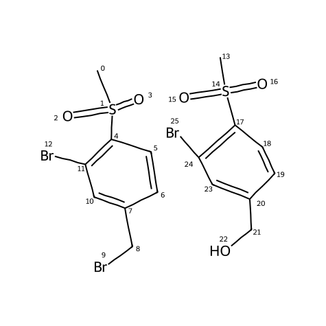 CS(=O)(=O)c1ccc(CBr)cc1Br.CS(=O)(=O)c1ccc(CO)cc1Br